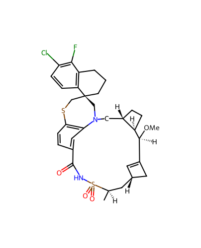 CO[C@H]1C2=C[C@H](C2)C[C@@H](C)S(=O)(=O)NC(=O)c2ccc3c(c2)N(C[C@@H]2CC[C@H]21)C[C@@]1(CCCc2c1ccc(Cl)c2F)CS3